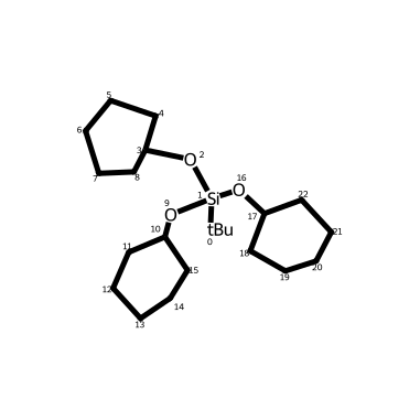 CC(C)(C)[Si](OC1CCCCC1)(OC1CCCCC1)OC1CCCCC1